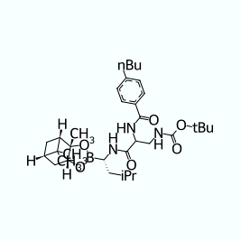 CCCCc1ccc(C(=O)NC(CNC(=O)OC(C)(C)C)C(=O)N[C@H](CC(C)C)B2O[C@@H]3C[C@@H]4C[C@@H](C4(C)C)[C@]3(C)O2)cc1